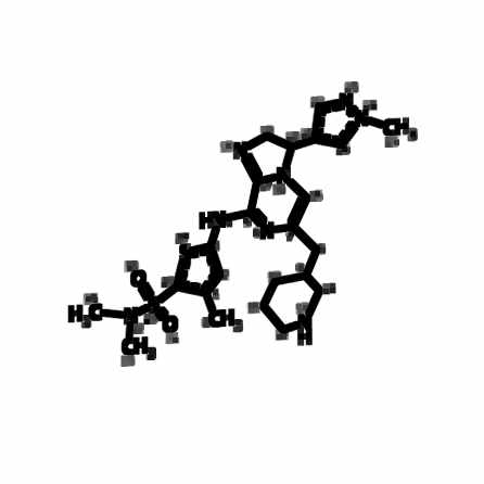 Cc1cc(NC2=NC(CC3CCCNC3)=CN3C2=NCC3c2cnn(C)c2)sc1S(=O)(=O)N(C)C